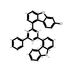 Clc1ccc2c(c1)oc1cccc(-c3nc(-c4ccccc4)nc(-c4cccc5sc6ccccc6c45)n3)c12